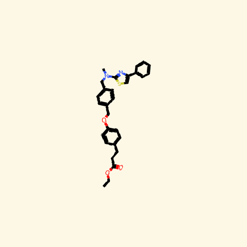 CCOC(=O)CCc1ccc(OCc2ccc(CN(C)c3nc(-c4ccccc4)cs3)cc2)cc1